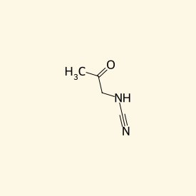 CC(=O)CNC#N